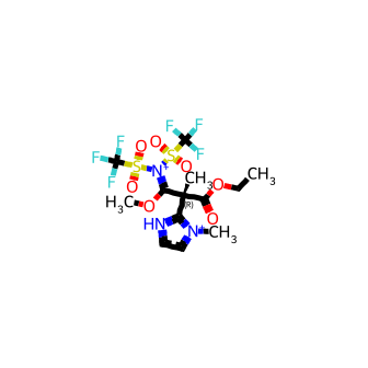 CCOC(=O)[C@@](C)(C(OC)=[N+](S(=O)(=O)C(F)(F)F)S(=O)(=O)C(F)(F)F)c1[nH]cc[n+]1C